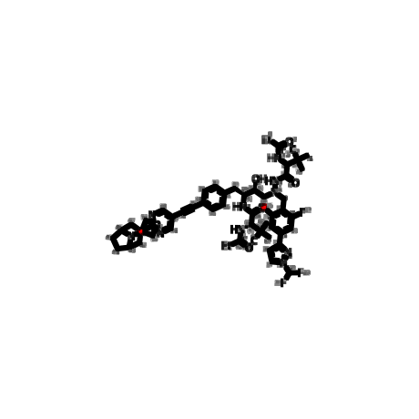 CCC(=O)NC(C(=O)NN(Cc1c(F)cc(-c2ccn(C(F)F)n2)cc1F)C[C@H](O)[C@H](Cc1ccc(C#Cc2cnc(N3CC4CCC(C3)N4C3COC3)nc2)cc1)NC(=O)[C@@H](NC(=O)CC)C(C)(C)C(F)(F)F)C(C)(C)C(F)(F)F